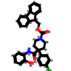 O=C(OCC1c2ccccc2-c2ccccc21)N1CCC(C(=O)Nc2ccccc2O)(c2ccc(Br)cc2)CC1